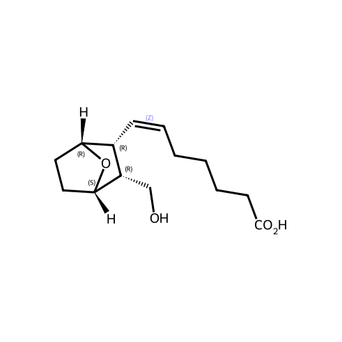 O=C(O)CCCC/C=C\[C@@H]1[C@H](CO)[C@@H]2CC[C@H]1O2